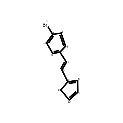 Brc1ccc(/C=C/C2=CC=CC2)cc1